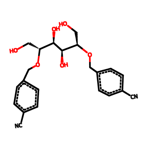 N#Cc1ccc(CO[C@H](CO)[C@@H](O)[C@H](O)[C@@H](CO)OCc2ccc(C#N)cc2)cc1